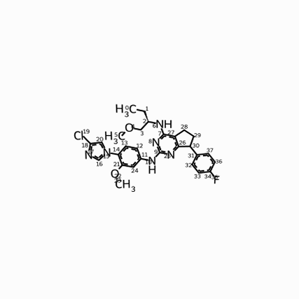 CC[C@H](COC)Nc1nc(Nc2ccc(-n3cnc(Cl)c3)c(OC)c2)nc2c1CCC2c1ccc(F)cc1